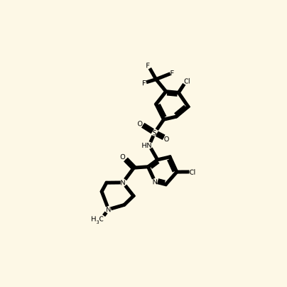 CN1CCN(C(=O)c2ncc(Cl)cc2NS(=O)(=O)c2ccc(Cl)c(C(F)(F)F)c2)CC1